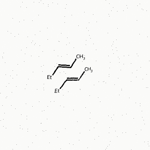 CC=CCC.CC=CCC